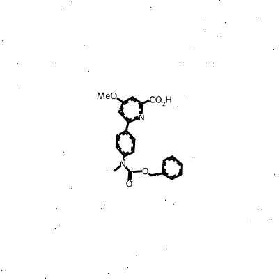 COc1cc(C(=O)O)nc(-c2ccc(N(C)C(=O)OCc3ccccc3)cc2)c1